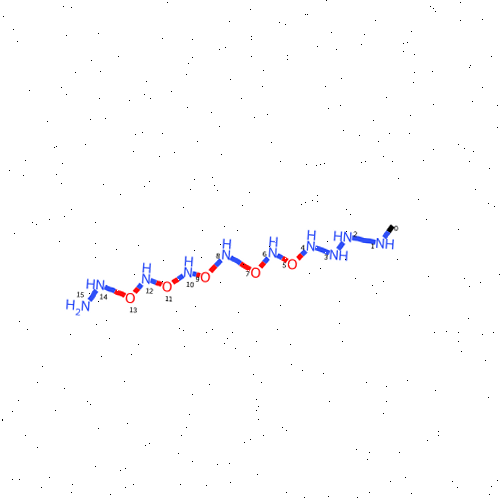 CNNNNONONONONONN